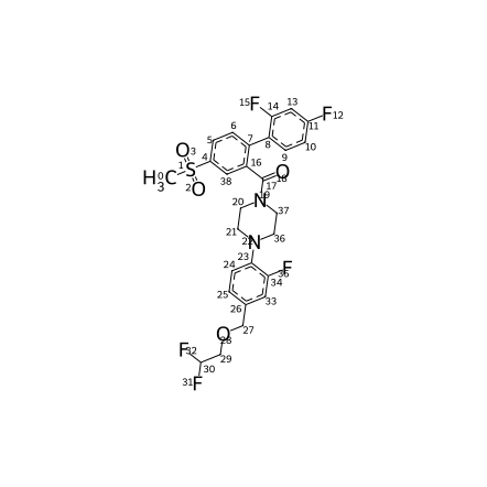 CS(=O)(=O)c1ccc(-c2ccc(F)cc2F)c(C(=O)N2CCN(c3ccc(COCC(F)F)cc3F)CC2)c1